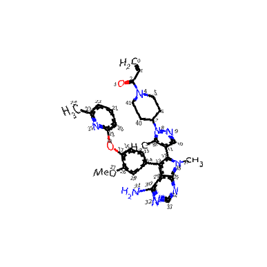 C=CC(=O)N1CCC(n2ncc(-c3c(-c4ccc(Oc5cccc(C)n5)c(OC)c4)c4c(N)ncnc4n3C)c2C)CC1